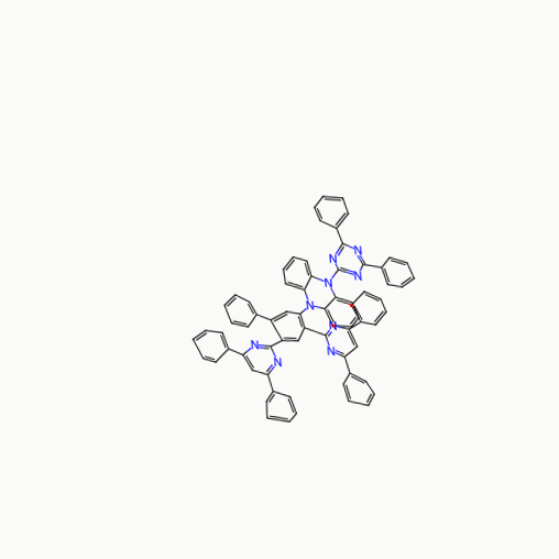 c1ccc(-c2cc(-c3ccccc3)nc(-c3cc(-c4nc(-c5ccccc5)cc(-c5ccccc5)n4)c(N4c5ccccc5N(c5nc(-c6ccccc6)nc(-c6ccccc6)n5)c5ccccc54)cc3-c3ccccc3)n2)cc1